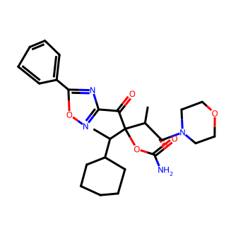 CC(C(=O)N1CCOCC1)C(OC(N)=O)(C(=O)c1noc(-c2ccccc2)n1)C(C)C1CCCCC1